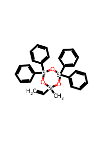 C=C[Si]1(C)O[Si](c2ccccc2)(c2ccccc2)O[Si](c2ccccc2)(c2ccccc2)O1